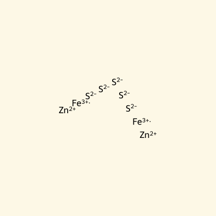 [Fe+3].[Fe+3].[S-2].[S-2].[S-2].[S-2].[S-2].[Zn+2].[Zn+2]